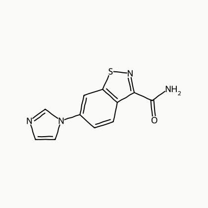 NC(=O)c1nsc2cc(-n3ccnc3)ccc12